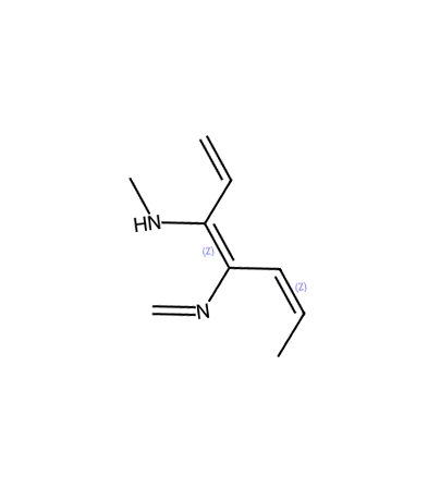 C=C/C(NC)=C(\C=C/C)N=C